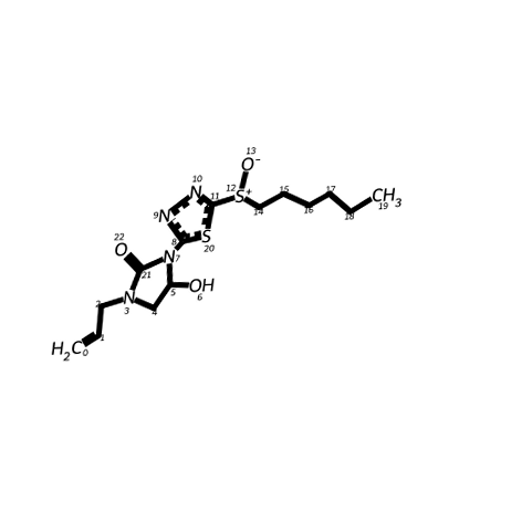 C=CCN1CC(O)N(c2nnc([S+]([O-])CCCCCC)s2)C1=O